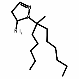 CCCCCCC(C)(CCCCC)N1N=CCC1N